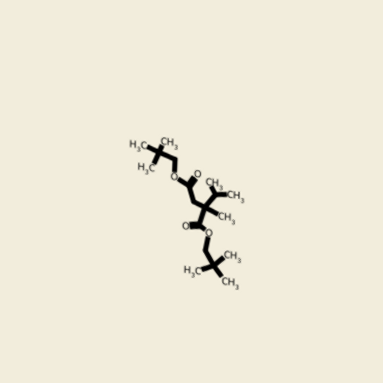 CC(C)C(C)(CC(=O)OCC(C)(C)C)C(=O)OCC(C)(C)C